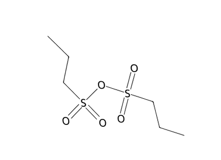 CCCS(=O)(=O)OS(=O)(=O)CCC